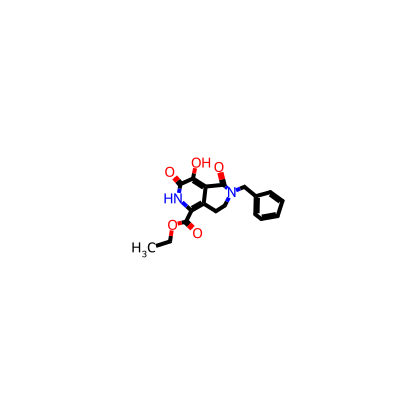 CCOC(=O)c1[nH]c(=O)c(O)c2c1CCN(Cc1ccccc1)C2=O